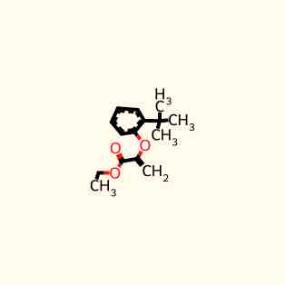 C=C(Oc1ccccc1C(C)(C)C)C(=O)OCC